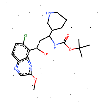 COc1cnc2ccc(Cl)c(C(O)CC(NC(=O)OC(C)(C)C)C3CCCNC3)c2n1